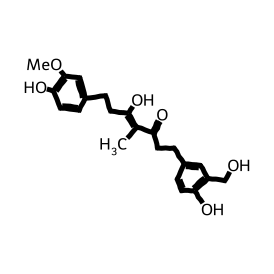 COc1cc(CC/C(O)=C(\C)C(=O)CCc2ccc(O)c(CO)c2)ccc1O